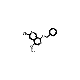 CCOc1cnc(OCc2ccccc2)c2cnc(Cl)cc12